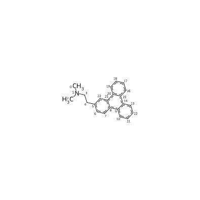 CN(C)CCc1ccc2c3ccccc3c3ccccc3c2c1